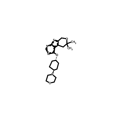 CC1(C)Cc2c(sc3ncnc(O[C@H]4CC[C@H](N5CCOCC5)CC4)c23)CO1